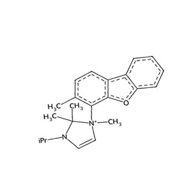 Cc1ccc2c(oc3ccccc32)c1[N+]1(C)C=CN(C(C)C)C1(C)C